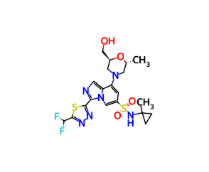 C[C@@H]1CN(c2cc(S(=O)(=O)NC3(C)CC3)cn3c(-c4nnc(C(F)F)s4)ncc23)C[C@@H](CO)O1